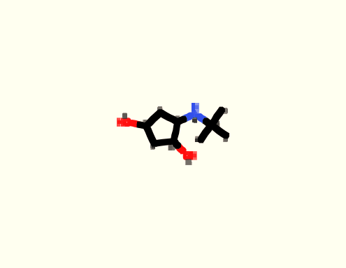 CC(C)(C)NC1CC(O)CC1O